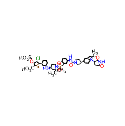 Cc1cc2cc(C3CCN(C(=O)Nc4cccc(CS(=O)(=O)N5CC[C@H](Nc6cccc(-c7sc(C(=O)O)c(OCC(=O)O)c7Cl)c6)CC5(C)C)c4)CC3)ccc2n1C1CCC(=O)NC1=O